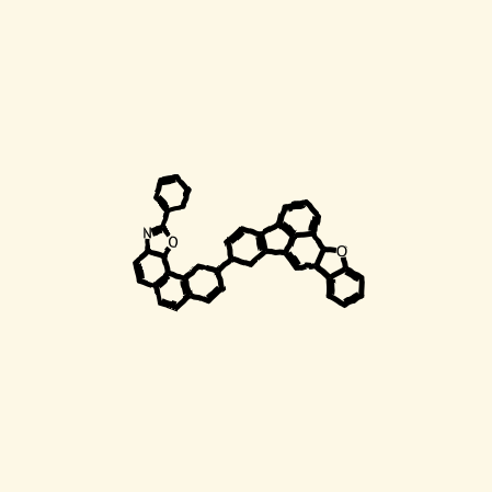 C1=CCCC(C2=NC3C=Cc4ccc5c(c4C3O2)CC(C2C=CC3=C(C2)C2=CC4c6ccccc6OC4c4cccc3c42)C=C5)=C1